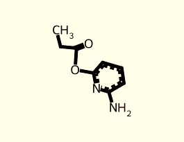 CCC(=O)Oc1cccc(N)n1